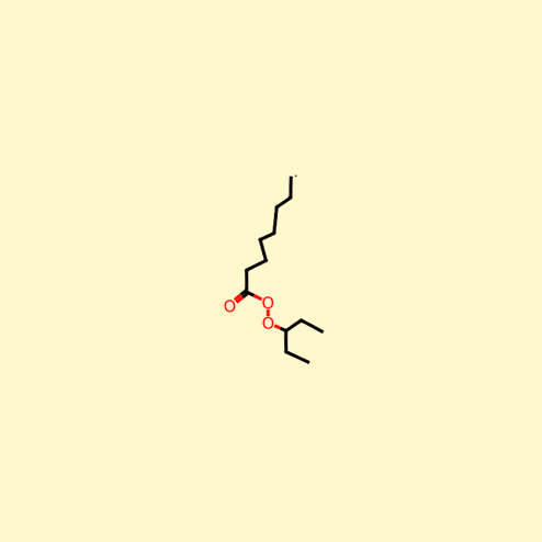 [CH2]CCCCCCC(=O)OOC(CC)CC